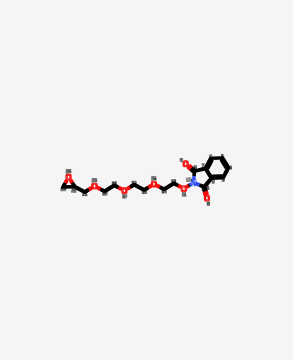 O=C1c2ccccc2C(=O)N1OCCOCCOCCOCC1CO1